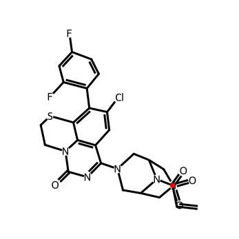 C=CC(=O)N1C2CN(c3nc(=O)n4c5c(c(-c6ccc(F)cc6F)c(Cl)cc35)SCC4)CC1CS(=O)(=O)C2